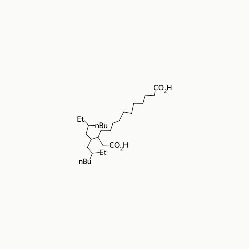 CCCCC(CC)CC(CC(CC)CCCC)C(CCCCCCCCCCC(=O)O)CC(=O)O